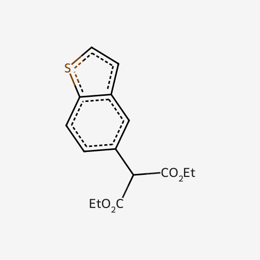 CCOC(=O)C(C(=O)OCC)c1ccc2sccc2c1